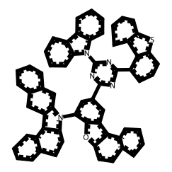 c1ccc2cc3c(cc2c1)c1c2ccccc2ccc1n3-c1cc(-c2nc(-c3cccc4sc5ccccc5c34)nc(-n3c4ccccc4c4ccccc43)n2)cc2c1oc1ccc3ccccc3c12